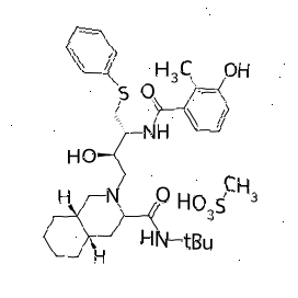 CS(=O)(=O)O.Cc1c(O)cccc1C(=O)N[C@@H](CSc1ccccc1)[C@H](O)CN1C[C@H]2CCCC[C@H]2CC1C(=O)NC(C)(C)C